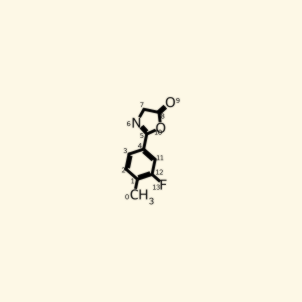 Cc1ccc(C2=NCC(=O)O2)cc1F